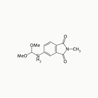 COC(OC)[SiH2]c1ccc2c(c1)C(=O)N(C)C2=O